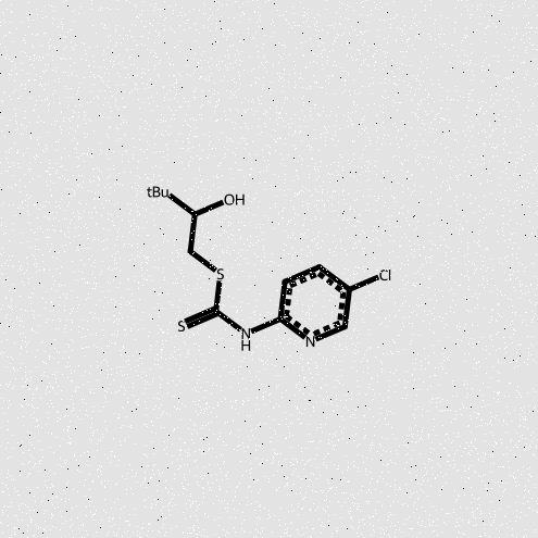 CC(C)(C)C(O)CSC(=S)Nc1ccc(Cl)cn1